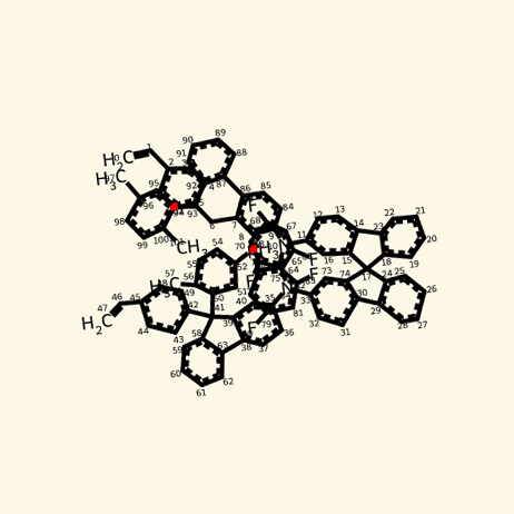 C=Cc1ccc(Cc2cc(N(c3ccc4c(c3)C3(c5ccccc5-4)c4ccccc4-c4ccc(N(c5ccc6c(c5)C(c5ccc(C=C)cc5)(c5cc(C)ccc5C)c5ccccc5-6)c5c(F)cc(F)cc5F)cc43)c3c(F)cc(F)cc3F)ccc2-c2ccccc2Cc2cc(C)ccc2C)cc1